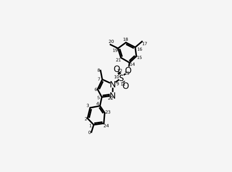 Cc1ccc(-c2cc(C)n(S(=O)(=O)Oc3cc(C)cc(C)c3)n2)cc1